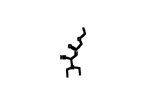 CCOC[PH](=O)CC(S)N(CC)CC